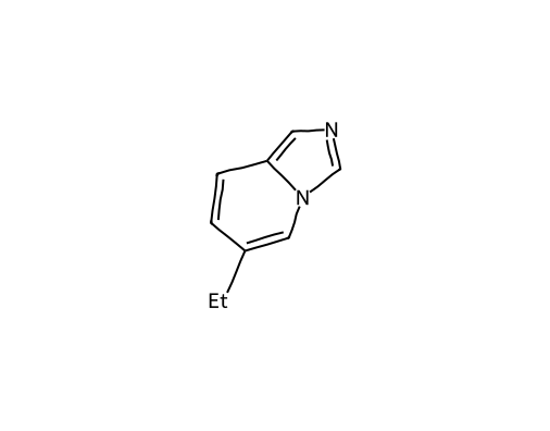 CCc1ccc2cncn2c1